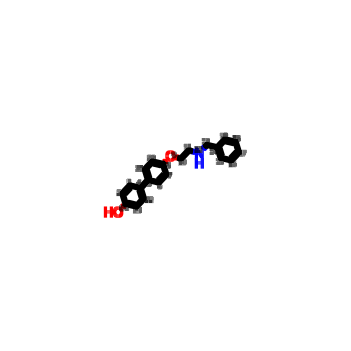 Oc1ccc(-c2ccc(OCCNCc3ccccc3)cc2)cc1